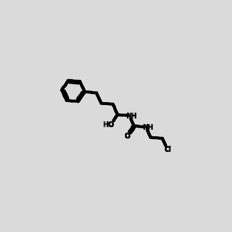 O=C(NCCCl)NC(O)CCCc1ccccc1